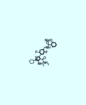 COc1ccccc1C(=O)NCc1cc(F)c(-c2nn(C3CCCC3)c(N)c2C(N)=O)cc1F